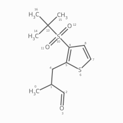 CC([C]=O)Cc1sccc1S(=O)(=O)C(C)(C)C